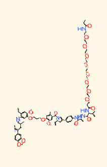 C=CC1CC(c2ccc(NC(=O)C(C)NC(=O)C(NC(=O)CCOCCOCCOCCOCCOCCOCCOCCOCCNC(=O)CC)C(C)C)cc2)=CN1C(=O)c1cc(OC)c(OCCCOc2cc(/N=C\C(C)C/C(=C\C)c3ccc4c(c3)OCO4)c(CC)cc2OC)cc1C